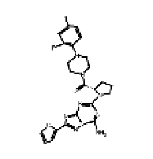 Cc1ccc(N2CCN(C(=O)[C@@H]3CCCN3c3nc(N)n4nc(-c5ccco5)nc4n3)CC2)c(F)c1